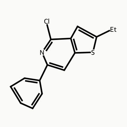 CCc1cc2c(Cl)nc(-c3ccccc3)cc2s1